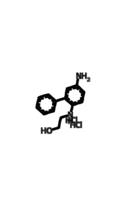 Cl.Cl.Nc1ccc(NCCO)c(-c2ccccc2)c1